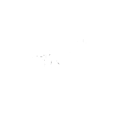 CCCOCCCc1cc(=O)oc2nc(ONC)[nH]c(=O)c12